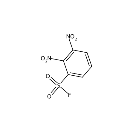 O=[N+]([O-])c1cccc(S(=O)(=O)F)c1[N+](=O)[O-]